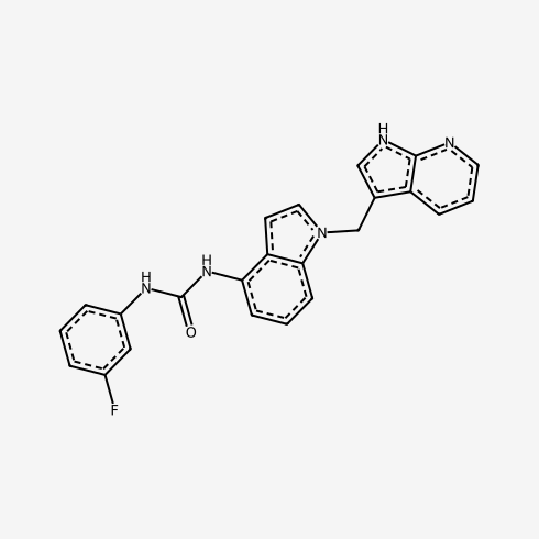 O=C(Nc1cccc(F)c1)Nc1cccc2c1ccn2Cc1c[nH]c2ncccc12